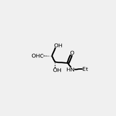 CCNC(=O)[C@H](O)[C@@H](O)C=O